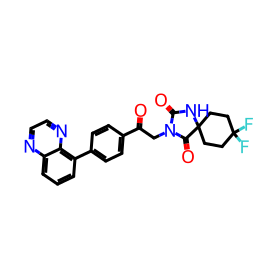 O=C(CN1C(=O)NC2(CCC(F)(F)CC2)C1=O)c1ccc(-c2cccc3nccnc23)cc1